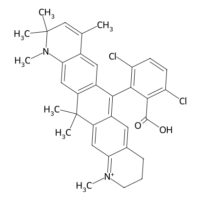 CC1=CC(C)(C)N(C)c2cc3c(cc21)C(c1c(Cl)ccc(Cl)c1C(=O)O)=c1cc2c(cc1C3(C)C)=[N+](C)CCC2